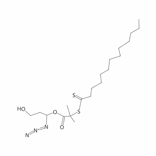 CCCCCCCCCCCCC(=S)SC(C)(C)C(=O)OC(CCO)N=[N+]=[N-]